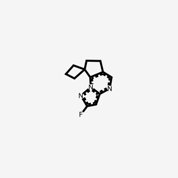 Fc1cc2ncc3c(n2n1)C1(CCC1)CC3